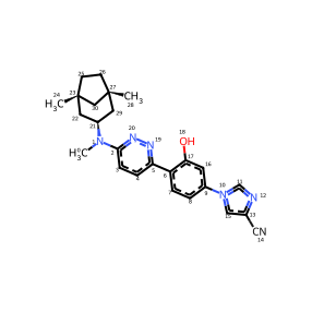 CN(c1ccc(-c2ccc(-n3cnc(C#N)c3)cc2O)nn1)[C@H]1C[C@]2(C)CC[C@](C)(C1)C2